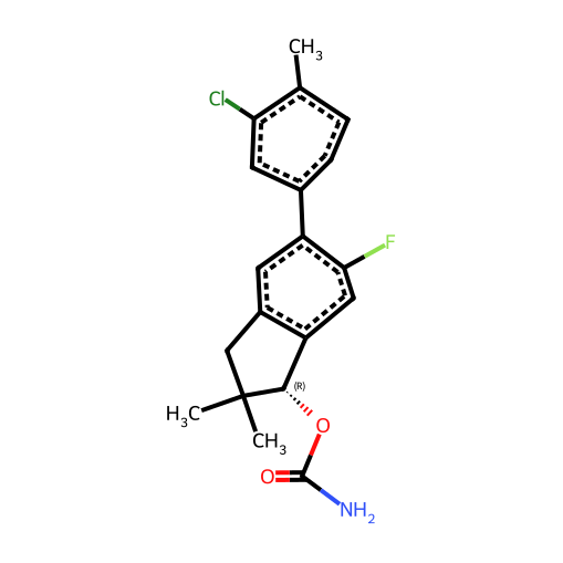 Cc1ccc(-c2cc3c(cc2F)[C@H](OC(N)=O)C(C)(C)C3)cc1Cl